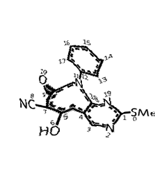 CSc1ncc2c(O)c(C#N)c(=O)n(-c3ccccc3)c2n1